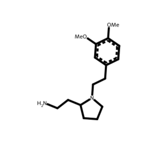 COc1ccc(CCN2CCCC2CCN)cc1OC